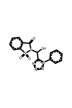 O=C1c2ccccc2S(=O)(=O)N1C(S)c1nnnn1-c1ccccc1